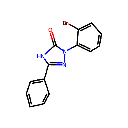 O=c1[nH]c(-c2ccccc2)nn1-c1ccccc1Br